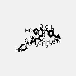 CC(C)C(C(=O)N1C[C@H](O)C[C@H]1C(=O)N[C@@H](C)c1ccc(-c2ccnn2C)cc1)c1cc(OC(=O)N2CCNCC2)no1